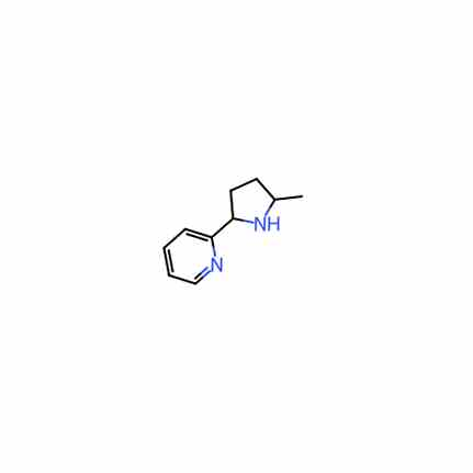 CC1CCC(c2ccccn2)N1